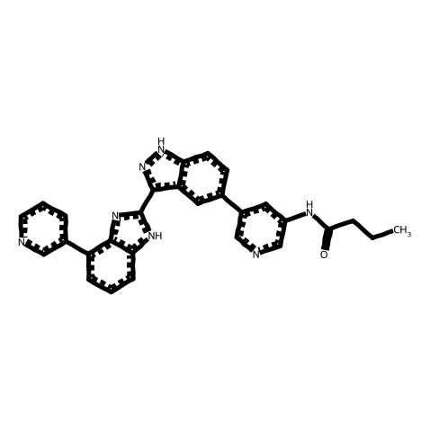 CCCC(=O)Nc1cncc(-c2ccc3[nH]nc(-c4nc5c(-c6cccnc6)cccc5[nH]4)c3c2)c1